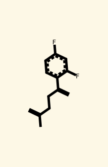 C=C(C)CCC(=C)c1ccc(F)cc1F